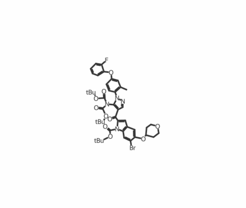 Cc1cc(Oc2ccccc2F)ccc1-n1ncc(C(=O)c2cc3cc(OC4CCOCC4)c(Br)cc3n2C(=O)OC(C)(C)C)c1N(C(=O)OC(C)(C)C)C(=O)OC(C)(C)C